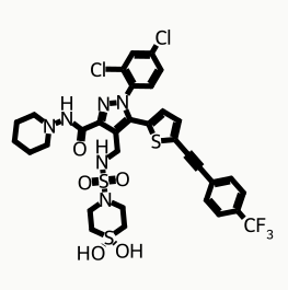 O=C(NN1CCCCC1)c1nn(-c2ccc(Cl)cc2Cl)c(-c2ccc(C#Cc3ccc(C(F)(F)F)cc3)s2)c1CNS(=O)(=O)N1CCS(O)(O)CC1